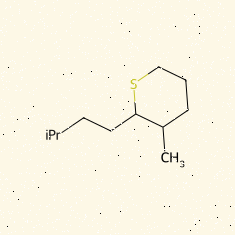 CC(C)CCC1SCCCC1C